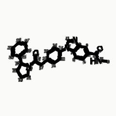 CNC(=O)c1ccc2c(c1)ncn2-c1ccc(CC(=O)N2CCCC2c2ccccc2)cc1